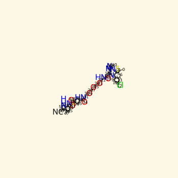 Cc1sc2c(c1C)C(c1ccc(Cl)cc1)=N[C@@H](CC(=O)NCCOCCOCCOCCNC(=O)c1ccc(S(=O)(=O)Nc3ccc(C)c4c(C#N)c[nH]c34)cc1)c1nnc(C)n1-2